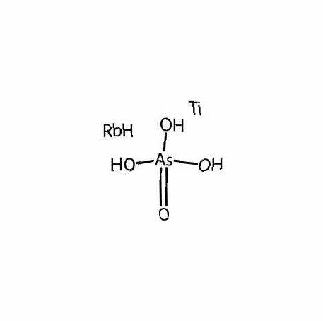 O=[As](O)(O)O.[RbH].[Ti]